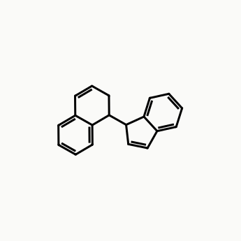 C1=Cc2ccccc2C(C2C=Cc3ccccc32)C1